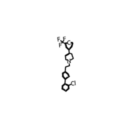 FC(F)(F)c1cccc(C2=CCN(CCc3ccc(-c4ccccc4Cl)cc3)CC2)c1